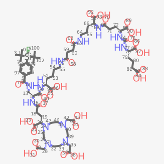 CC(C)(C)[Si](F)(c1ccc(C(=O)NC[C@H](NC(=O)CC[C@H](C(=O)O)N2CCN(CC(=O)O)CCN(CC(=O)O)CCN(CC(=O)O)CC2)C(=O)N[C@@H](CCCCNC(=O)CCC(=O)NCCC[C@H](NC(=O)CC[C@H](NC(=O)N[C@@H](CCCC(=O)O)C(=O)O)C(=O)O)C(=O)O)C(=O)O)cc1)C(C)(C)C